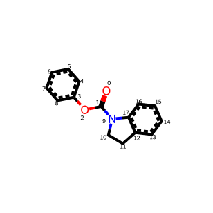 O=C(Oc1ccccc1)N1CCc2ccccc21